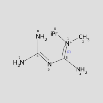 CC(C)/[N+](C)=C(/N)N=C(N)N